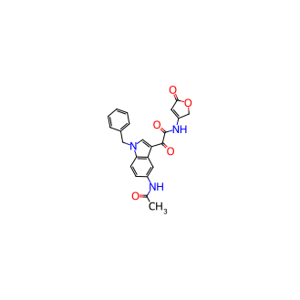 CC(=O)Nc1ccc2c(c1)c(C(=O)C(=O)NC1=CC(=O)OC1)cn2Cc1ccccc1